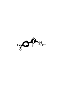 CCCCCCCCNc1ncc(C2=CCC(=S(=O)=O)C=C2)[nH]1